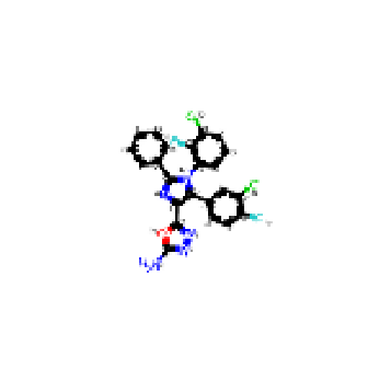 Nc1nnc(-c2nc(-c3ccccc3)n(-c3cccc(Cl)c3F)c2-c2ccc(F)c(Cl)c2)o1